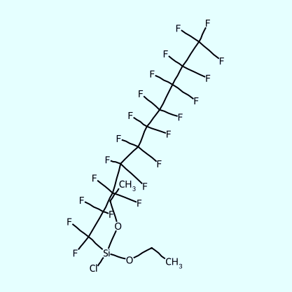 CCO[Si](Cl)(OCC)C(F)(F)C(F)(F)C(F)(F)C(F)(F)C(F)(F)C(F)(F)C(F)(F)C(F)(F)C(F)(F)C(F)(F)F